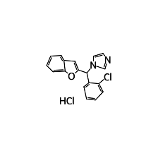 Cl.Clc1ccccc1C(c1cc2ccccc2o1)n1ccnc1